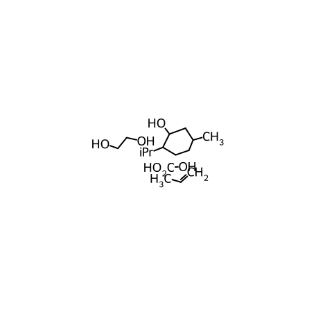 C=CC.CC1CCC(C(C)C)C(O)C1.O=C(O)O.OCCO